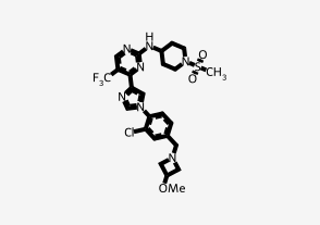 COC1CN(Cc2ccc(-n3cnc(-c4nc(NC5CCN(S(C)(=O)=O)CC5)ncc4C(F)(F)F)c3)c(Cl)c2)C1